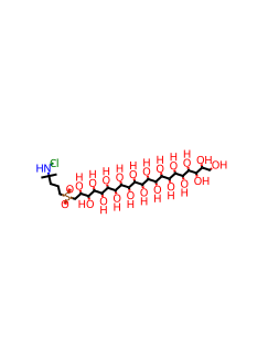 CC(C)(CCCS(=O)(=O)CC(O)C(O)C(O)C(O)C(O)C(O)C(O)C(O)C(O)C(O)C(O)C(O)C(O)C(O)C(O)C(O)C(O)C(O)C(O)CO)NCl